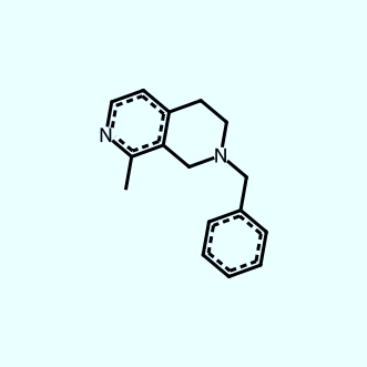 Cc1nccc2c1CN(Cc1ccccc1)CC2